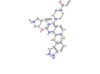 C=CC(=O)N1CCN(c2nc(O[C@@H]3CN(C)CC3OC)nc3c(Oc4c(Cl)ccc5[nH]ncc45)nccc23)CC1